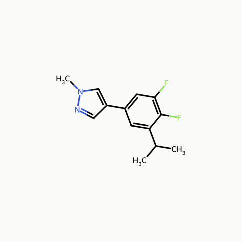 CC(C)c1cc(-c2cnn(C)c2)cc(F)c1F